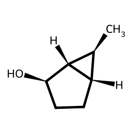 C[C@H]1[C@@H]2CC[C@@H](O)[C@H]12